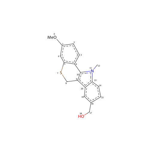 COc1ccc2c(c1)SCc1c-2n(C)c2ccc(CO)cc12